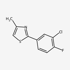 Cc1csc(-c2ccc(F)c(Cl)c2)n1